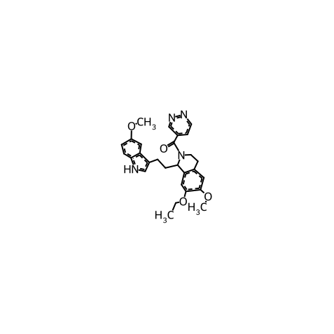 CCOc1cc2c(cc1OC)CCN(C(=O)c1ccnnc1)C2CCc1c[nH]c2ccc(OC)cc12